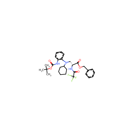 CC(C)(C)OC(=O)Nc1ccccc1N(C[C@@H](NC(=O)C(F)(F)F)C(=O)OCc1ccccc1)C1CCCCC1